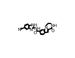 N#Cc1ccc2[nH]c(NC(=O)c3ccc4cc5n(c4c3)CCCNC5=O)nc2c1